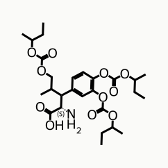 CCC(C)OC(=O)OCC(C)C(c1ccc(OC(=O)OC(C)CC)c(OC(=O)OC(C)CC)c1)[C@H](N)C(=O)O